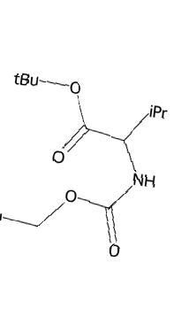 CC(C)C(NC(=O)OCC(C)(C)C)C(=O)OC(C)(C)C